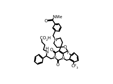 CNC(=O)c1cccc(CN2CCC3(CC2)OCc2c3c(=O)n(CC(NCCCC(=O)O)c3ccccc3)c(=O)n2Cc2c(F)cccc2C(F)(F)F)c1